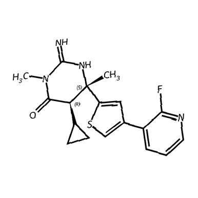 CN1C(=N)N[C@](C)(c2cc(-c3cccnc3F)cs2)[C@@H](C2CC2)C1=O